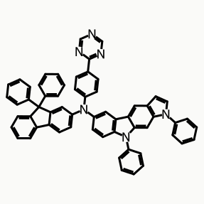 c1ccc(-n2ccc3cc4c5cc(N(c6ccc(-c7ncncn7)cc6)c6ccc7c(c6)C(c6ccccc6)(c6ccccc6)c6ccccc6-7)ccc5n(-c5ccccc5)c4cc32)cc1